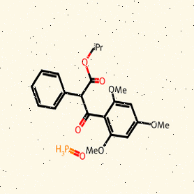 COc1cc(OC)c(C(=O)C(C(=O)OC(C)C)c2ccccc2)c(OC)c1.O=[PH3]